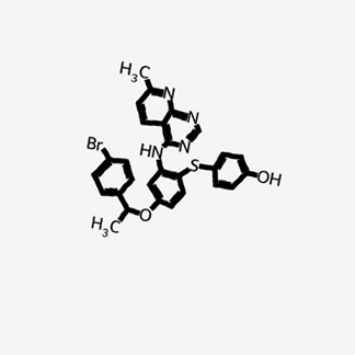 Cc1ccc2c(Nc3cc(OC(C)c4ccc(Br)cc4)ccc3Sc3ccc(O)cc3)ncnc2n1